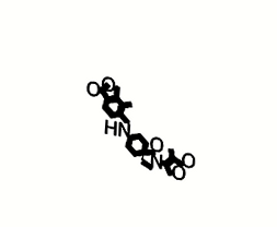 CC1=C(N2CC[C@]3(CC[C@H](NCc4ccc5c(c4C)COC5=O)CC3)C2=O)COC1=O